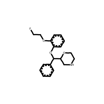 FCCOc1ccccc1OC(c1ccccc1)C1CNCCO1